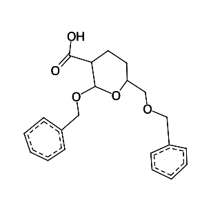 O=C(O)C1CCC(COCc2ccccc2)OC1OCc1ccccc1